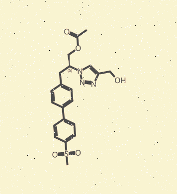 CC(=O)OC[C@H](Cc1ccc(-c2ccc(S(C)(=O)=O)cc2)cc1)n1cc(CO)nn1